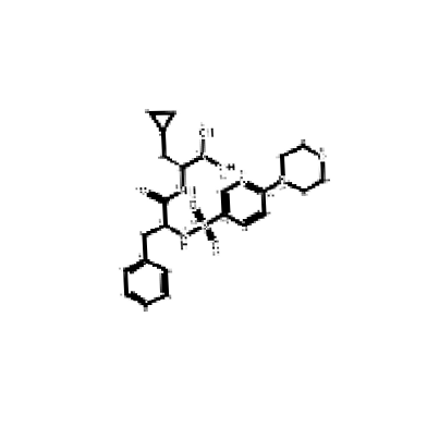 O=C(N[C@@H](CC1CC1)B(O)O)C(Cc1ccccc1)NS(=O)(=O)c1ccc(N2CCOCC2)nc1